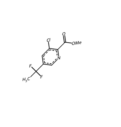 COC(=O)c1ncc(C(C)(F)F)cc1Cl